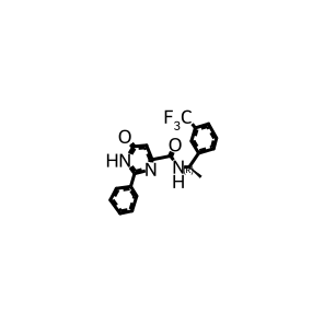 C[C@@H](NC(=O)c1cc(=O)[nH]c(-c2ccccc2)n1)c1cccc(C(F)(F)F)c1